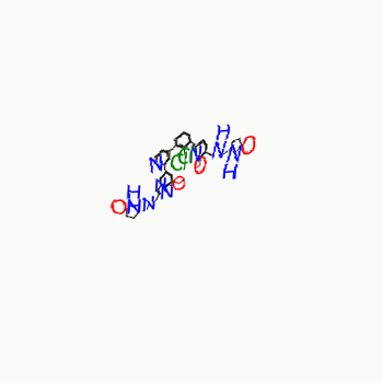 COc1nc(-c2cccc(-c3ccnc(-c4cc(OC)c5nc(CNC[C@@H]6CCC(=O)N6)cn5c4)c3Cl)c2Cl)ccc1CNC[C@H]1CCC(=O)N1